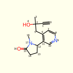 C#CC(C)(O)Cc1ccncc1C1CCC(=O)N1C